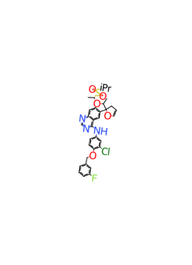 CC(OC(C)S(=O)(=O)C(C)C)C1(c2ccc3ncnc(Nc4ccc(OCc5cccc(F)c5)c(Cl)c4)c3c2)CC=CO1